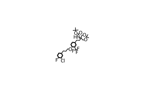 CC(C)(C)OC(=O)NC1(CCc2ccc(OCCCc3ccc(F)c(Cl)c3)c(C(F)(F)F)c2)COC(C)(C)OC1